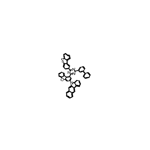 c1ccc(-c2cccc(-c3nc(-c4ccc5sc6ccccc6c5c4)nc(-c4cc(-n5c6ccccc6c6cc7ccccc7cc65)cc5oc6ccccc6c45)n3)c2)cc1